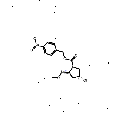 CO/N=C1\C[C@@H](O)CN1C(=O)OCc1ccc([N+](=O)[O-])cc1